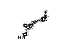 CCCCN(C)C(=O)C[S+]([O-])CCCCCCOc1ccc(C/C(=C\Cc2ccc(O)cc2)c2ccccc2)cc1